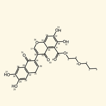 CCCOCCOC(=O)c1c(O)c(O)cc2occ(C3=CCc4cc(O)c(O)cc4C3=O)c(=O)c12